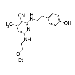 CCOCCNc1cc(C)c(C#N)c(NCCc2ccc(O)cc2)n1